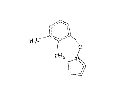 Cc1cccc(On2c[c]cc2)c1C